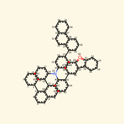 c1ccc(-c2cccc3cccc(-c4ccccc4N(c4ccc(-c5cccc6c5ccc5ccccc56)cc4)c4ccccc4-c4ccc5oc6ccccc6c5c4)c23)cc1